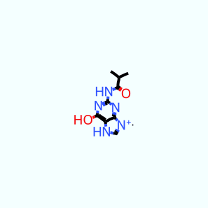 CC(C)C(=O)Nc1nc(O)c2c(n1)[N+]=CN2